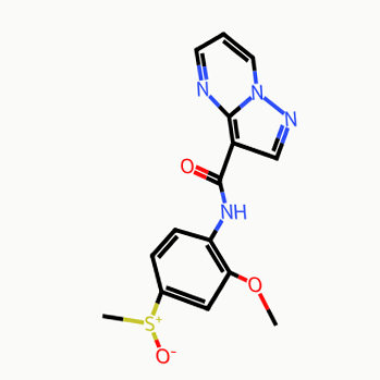 COc1cc([S+](C)[O-])ccc1NC(=O)c1cnn2cccnc12